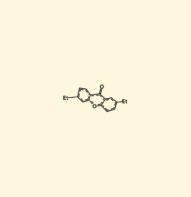 CCc1ccc2c(=O)c3cc(CC)ccc3oc2c1